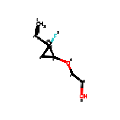 C=C[C@@]1(F)CC1OCCO